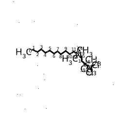 CCCCCCCCCCCC[N+](C)(C)CCC(C)(C)N(Cl)Cl